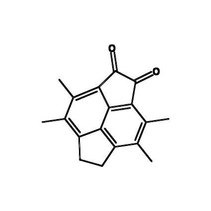 Cc1c(C)c2c3c(c(C)c(C)c4c3c1CC4)C(=O)C2=O